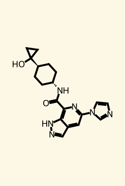 O=C(N[C@H]1CC[C@H](C2(O)CC2)CC1)c1nc(-n2ccnc2)cc2cn[nH]c12